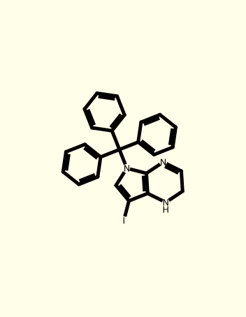 Ic1cn(C(c2ccccc2)(c2ccccc2)c2ccccc2)c2c1NCC=N2